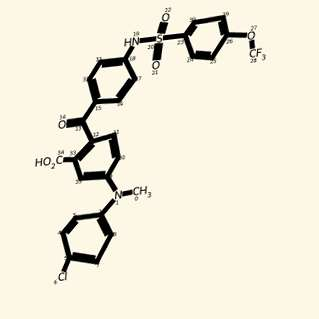 CN(c1ccc(Cl)cc1)c1ccc(C(=O)c2ccc(NS(=O)(=O)c3ccc(OC(F)(F)F)cc3)cc2)c(C(=O)O)c1